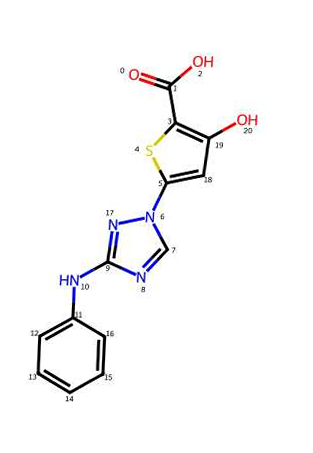 O=C(O)c1sc(-n2cnc(Nc3ccccc3)n2)cc1O